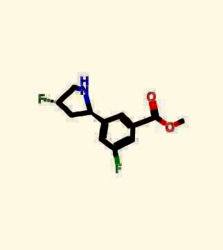 COC(=O)c1cc(F)cc([C@H]2C[C@H](F)CN2)c1